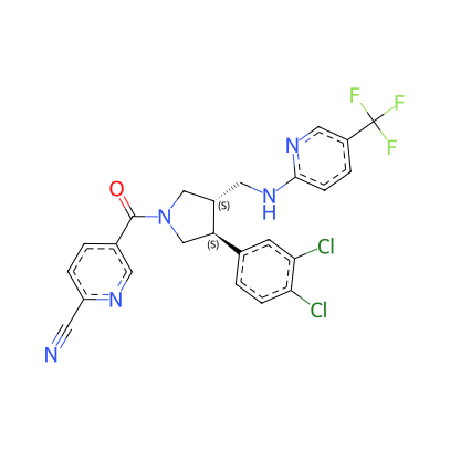 N#Cc1ccc(C(=O)N2C[C@H](CNc3ccc(C(F)(F)F)cn3)[C@@H](c3ccc(Cl)c(Cl)c3)C2)cn1